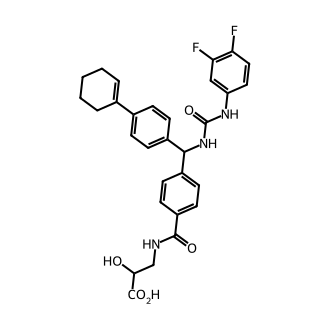 O=C(Nc1ccc(F)c(F)c1)NC(c1ccc(C(=O)NCC(O)C(=O)O)cc1)c1ccc(C2=CCCCC2)cc1